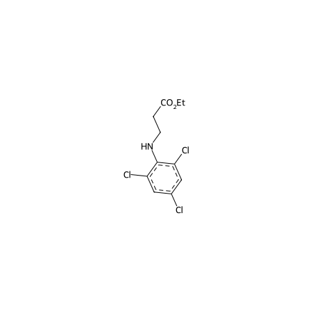 CCOC(=O)CCNc1c(Cl)cc(Cl)cc1Cl